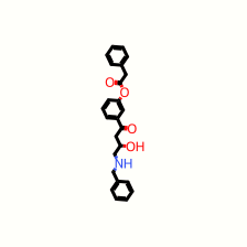 O=C(Cc1ccccc1)Oc1cccc(C(=O)CC(O)CNCc2ccccc2)c1